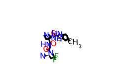 Cc1ccc2c(c1)SC(C(=O)Nc1cnccc1C(=O)NCC(=O)N1CC(F)(F)C[C@H]1C#N)N2